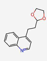 c1ccc2c(CCC3OCCO3)ccnc2c1